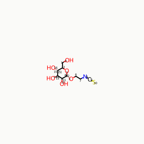 OCC1O[C@H](OCCN=C=S)C(O)[C@@H](O)[C@@H]1O